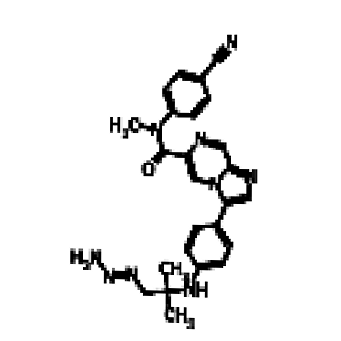 CN(C(=O)c1cn2c(-c3ccc(NC(C)(C)CN=NN)cc3)cnc2cn1)c1ccc(C#N)cc1